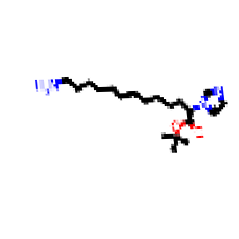 CC(C)(C)OC(=O)C(CCCCCCCCCCCN)n1ccnc1